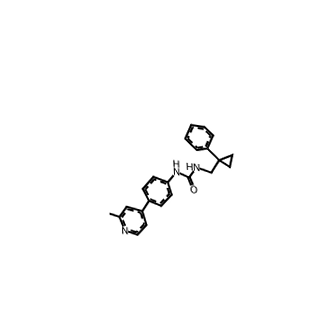 Cc1cc(-c2ccc(NC(=O)NCC3(c4ccccc4)CC3)cc2)ccn1